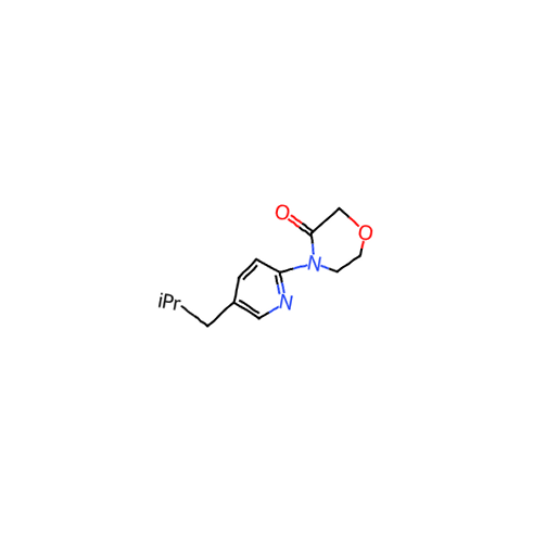 CC(C)Cc1ccc(N2CCOCC2=O)nc1